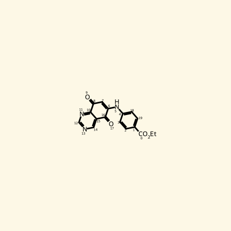 CCOC(=O)c1ccc(NC2=CC(=O)c3ncncc3C2=O)cc1